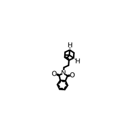 CC1(C)[C@H]2CC=C(CCN3C(=O)c4ccccc4C3=O)[C@@H]1C2